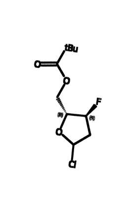 CC(C)(C)C(=O)OC[C@H]1OC(Cl)C[C@@H]1F